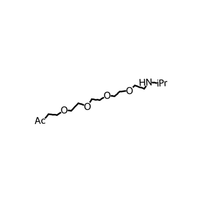 CC(=O)CCOCCOCCOCCOCCNC(C)C